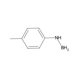 BNc1ccc(C)cc1